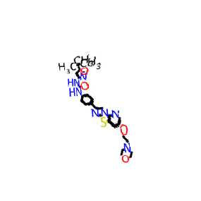 CC(C)(C)c1cc(NC(=O)Nc2ccc(-c3cn4c(n3)sc3cc(OCCN5CCOCC5)cnc34)cc2)no1